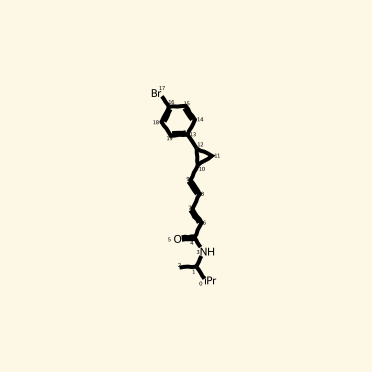 CC(C)C(C)NC(=O)/C=C/C=C/C1CC1c1ccc(Br)cc1